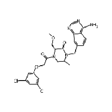 COC[C@H]1C(=O)N(Cc2ccc3c(N)ncnc3c2)C(C)CN1C(=O)COc1cc(Cl)cc(Cl)c1